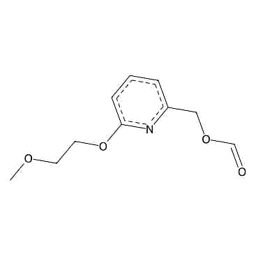 COCCOc1cccc(COC=O)n1